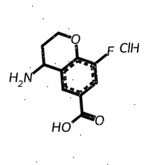 Cl.NC1CCOc2c(F)cc(C(=O)O)cc21